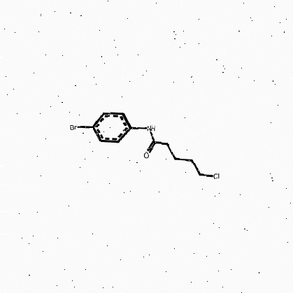 O=C(CCCCCl)Nc1ccc(Br)cc1